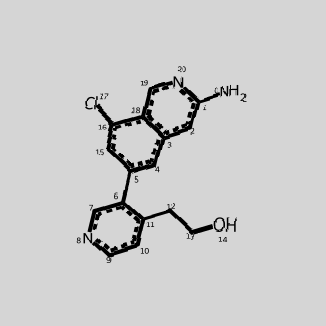 Nc1cc2cc(-c3cnccc3CCO)cc(Cl)c2cn1